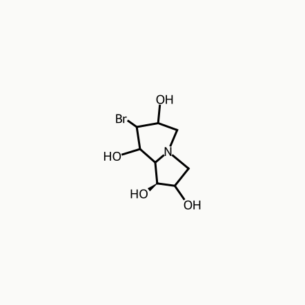 OC1CN2CC(O)[C@@H](O)C2C(O)C1Br